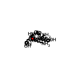 CC(=O)CN(C[C@H](C)NC(=O)CN(C[C@H](Cc1ccc(O)cc1)NC(=O)CN(C[C@H](CCCCN)NC(=O)CN(C[C@H](Cc1ccc(O)cc1)NC(C)=O)S(=O)(=O)CCN)S(C)(=O)=O)S(C)(=O)=O)S(C)(=O)=O